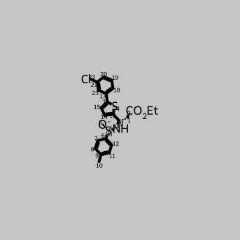 CCOC(=O)C[C@H](N[S@+]([O-])c1ccc(C)cc1)c1ccc(-c2cccc(Cl)c2)s1